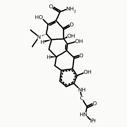 CC(C)NC(=O)CNc1ccc2c(c1O)C(=O)C1=C(O)[C@@]3(O)C(=O)C(C(N)=O)=C(O)[C@@H](N(C)C)[C@H]3C[C@H]1C2